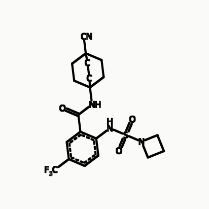 N#CC12CCC(NC(=O)c3cc(C(F)(F)F)ccc3NS(=O)(=O)N3CCC3)(CC1)CC2